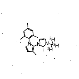 [2H]C([2H])([2H])N1C=CN(c2c(C)ccn2-c2c(C)cc(C)cc2C)[C@H]1C